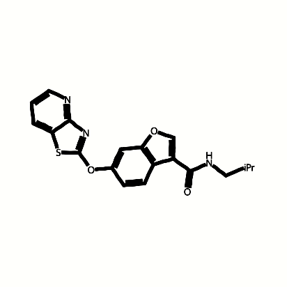 CC(C)CNC(=O)c1coc2cc(Oc3nc4ncccc4s3)ccc12